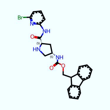 O=C(N[C@@H]1CN[C@H](C(=O)Nc2cccc(Br)n2)C1)OCC1c2ccccc2-c2ccccc21